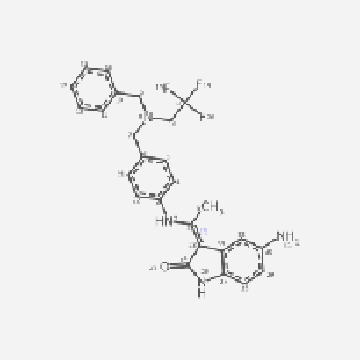 C/C(Nc1ccc(CN(Cc2ccccc2)CC(F)(F)F)cc1)=C1/C(=O)Nc2ccc(N)cc21